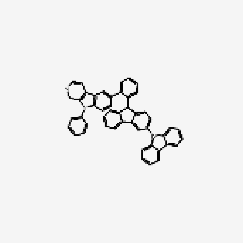 C1=Cc2c(n(-c3ccccc3)c3ccc(-c4ccccc4C4c5ccccc5-c5cc(-n6c7ccccc7c7ccccc76)ccc54)cc23)CN1